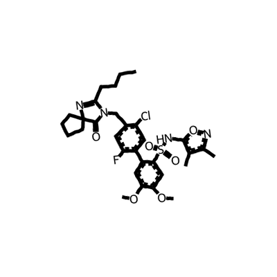 CCCCC1=NC2(CCCC2)C(=O)N1Cc1cc(F)c(-c2cc(OC)c(OC)cc2S(=O)(=O)Nc2onc(C)c2C)cc1Cl